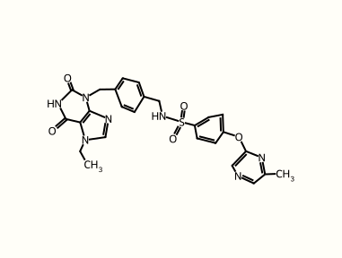 CCn1cnc2c1c(=O)[nH]c(=O)n2Cc1ccc(CNS(=O)(=O)c2ccc(Oc3cncc(C)n3)cc2)cc1